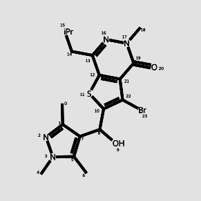 Cc1nn(C)c(C)c1C(O)c1sc2c(CC(C)C)nn(C)c(=O)c2c1Br